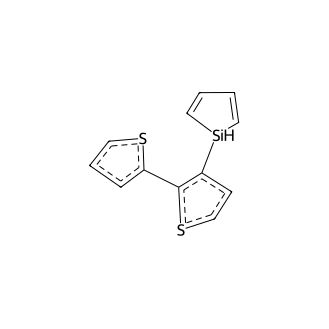 C1=C[SiH](c2ccsc2-c2cccs2)C=C1